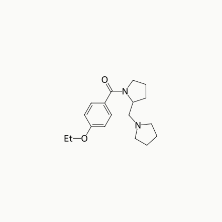 CCOc1ccc(C(=O)N2CCCC2CN2CCCC2)cc1